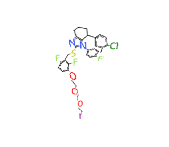 Cc1cc(C2CCCc3nc(SCc4c(F)ccc(OCCOCCOCCI)c4F)n(-c4ccc(F)cc4)c32)ccc1Cl